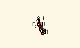 O=C(Nc1ccc(N2CCN(C(=O)Nc3ccc(OCCO)cc3C(F)(F)F)CC2)c(F)c1)Nc1ccccc1F